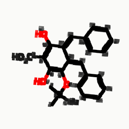 CC(C)(C)[Si](C)(C)Oc1c(O)c(C(=O)O)c(O)c(=Cc2ccccc2)c1=Cc1ccccc1